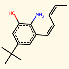 C/C=C\C=C/c1cc(C(C)(C)C)cc(O)c1N